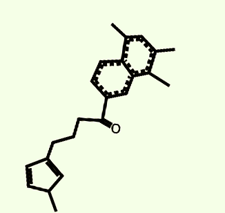 Cc1cc(C)c2ccc(C(=O)CCCC3=CC(C)C=C3)cc2c1C